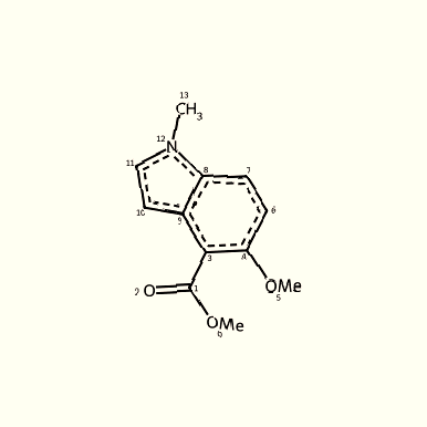 COC(=O)c1c(OC)ccc2c1ccn2C